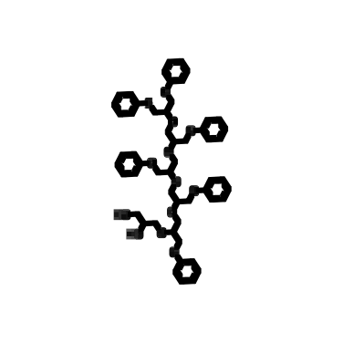 OCC(O)COC(COc1ccccc1)COC(COc1ccccc1)COC(COc1ccccc1)COC(COc1ccccc1)COC(COc1ccccc1)CSc1ccccc1